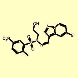 Cc1ccc([N+](=O)[O-])cc1S(=O)(=O)N(CCO)/N=C\c1cnn2ccc(Br)cc12